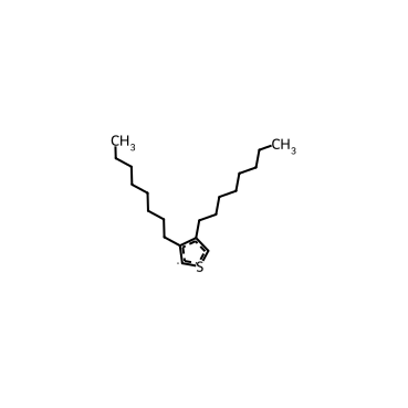 CCCCCCCCc1[c]scc1CCCCCCCC